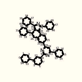 c1ccc(-c2cccc(-c3nc(-c4ccccc4)cc(-c4ccc5c(c4)cc(-c4ccccc4)c4c(-c6ccccc6)nn(-c6ccccc6)c45)n3)c2)cc1